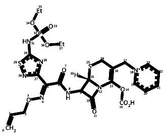 C=CCON=C(C(=O)NC1C(=O)N2C(OC(=O)O)=C(C[n+]3ccccc3)CS[C@@H]12)c1nsc(NP(=O)(OCC)OCC)n1